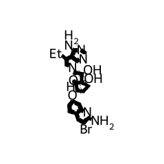 CCc1cn([C@@H]2O[C@@H]3[C@@H](Oc4ccc5cc(Br)c(N)nc5c4)CC[C@]3(O)[C@H]2O)c2ncnc(N)c12